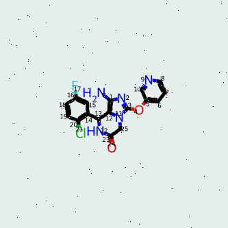 Nc1nc(Oc2cccnc2)n2c1C(c1cc(F)ccc1Cl)NC(=O)C2